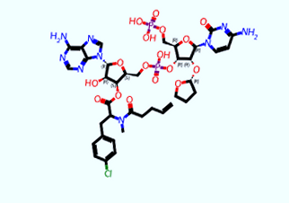 C=CCCC(=O)N(C)C(Cc1ccc(Cl)cc1)C(=O)O[C@H]1[C@@H](O)[C@H](n2cnc3c(N)ncnc32)O[C@H]1COP(=O)(O)O[C@H]1[C@@H](O[C@@H]2CCCO2)[C@H](n2ccc(N)nc2=O)O[C@@H]1COP(=O)(O)O